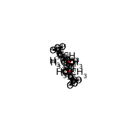 C[Si](C)(O[Si](O[Si](C)(C)C1CC2CC1C1C(=O)OC(=O)C21)(c1ccccc1)c1ccccc1)O[Si](C)(C)C1CC2CC1C1C(=O)OC(=O)C21